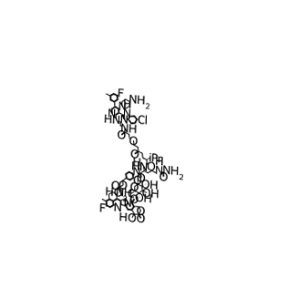 Cc1cc(F)cc(-c2cnc(NCCNC(=O)CCOCCC(=O)CC[C@H](C(=O)NC(CCCNC(N)=O)C(=O)Nc3ccc(COC(=O)N[C@H]4CCc5c(C)c(F)cc6nc7c(c4c56)Cn4c-7cc5c(c4=O)COC(=O)C5O)cc3O[C@@H]3O[C@H](C(=O)O)[C@@H](O)[C@H](O)[C@H]3O)C(C)C)c(-c3nc4ccc(Cl)cc4[nH]3)c2N2CCC(N)CC2)c1